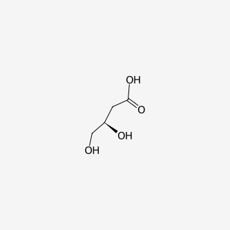 O=C(O)C[C@@H](O)CO